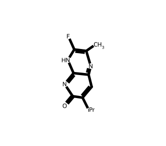 Cc1nc2cc(C(C)C)c(=O)nc-2[nH]c1F